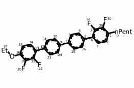 CCCCCc1ccc(-c2ccc(-c3ccc(-c4ccc(OCC)c(F)c4F)cc3)cc2)c(F)c1F